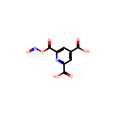 O=NOC(=O)c1cc(C(=O)O)cc(C(=O)O)n1